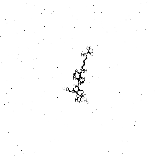 CC1(C)OC2C(O1)[C@@H](CO)O[C@H]2n1cnc2c(NCCCCNC(=O)C(F)(F)F)ncnc21